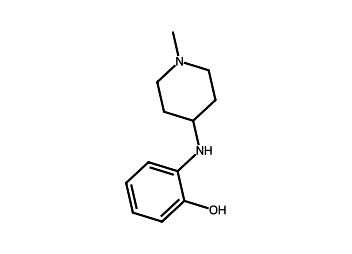 CN1CCC(Nc2ccccc2O)CC1